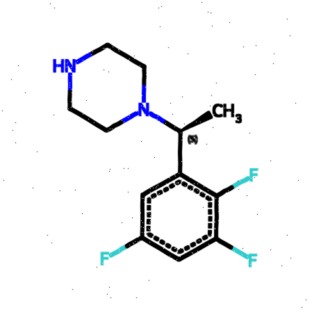 C[C@@H](c1cc(F)cc(F)c1F)N1CCNCC1